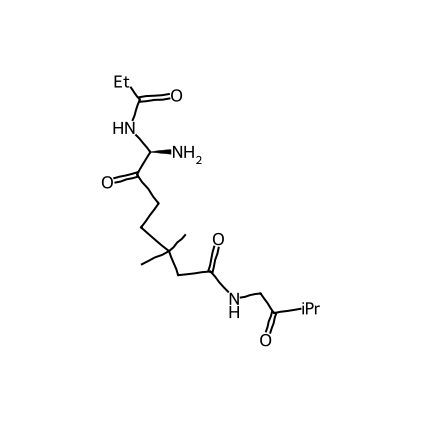 CCC(=O)N[C@@H](N)C(=O)CCC(C)(C)CC(=O)NCC(=O)C(C)C